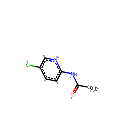 CCOC(=O)C(=O)Nc1ccc(Cl)cn1